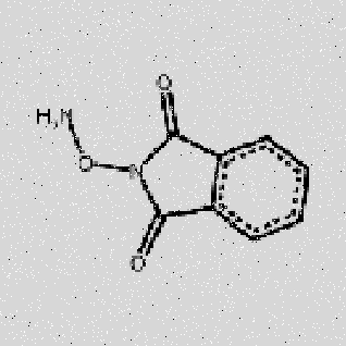 NON1C(=O)c2ccccc2C1=O